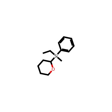 CC[Si](C)(c1ccccc1)C1CCCCO1